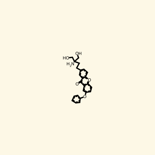 NC(CO)(CO)CCc1ccc2oc3ccc(Oc4ccccc4)cc3c(=O)c2c1